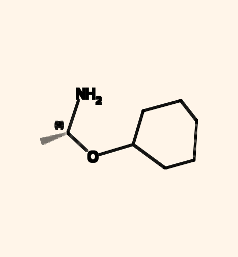 C[C@H](N)OC1CCCCC1